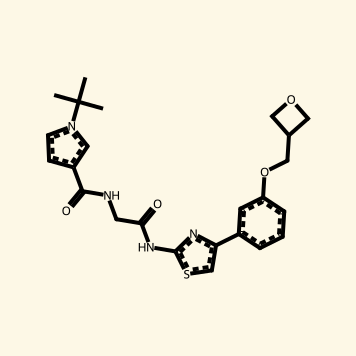 CC(C)(C)n1ccc(C(=O)NCC(=O)Nc2nc(-c3cccc(OCC4COC4)c3)cs2)c1